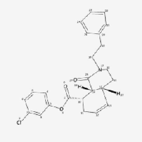 O=C(Oc1cccc(Cl)c1)[C@H]1CC=C[C@H]2CCN(CCc3ccccc3)C(=O)[C@@H]12